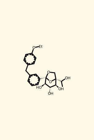 CCOc1ccc(Cc2cccc([C@]34OC[C@](C(C)O)(O3)[C@@H](O)[C@H](O)[C@H]4O)c2)cc1